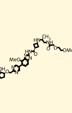 COCCOCC(=O)NC[C@H](C)N[C@H]1C[C@@H](C(=O)Nc2nc3ccc(-c4cnc(CO[C@H]5CCC[C@@H]5O)nc4)c(OC)c3s2)C1